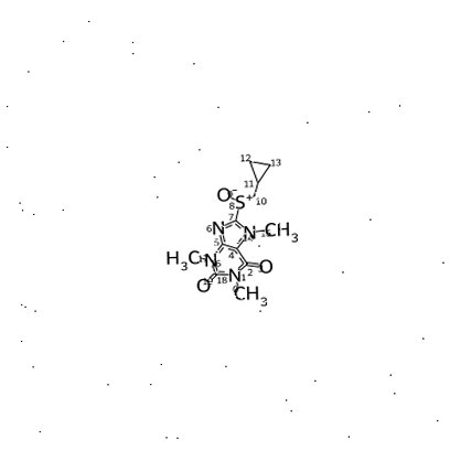 Cn1c(=O)c2c(nc([S+]([O-])CC3CC3)n2C)n(C)c1=O